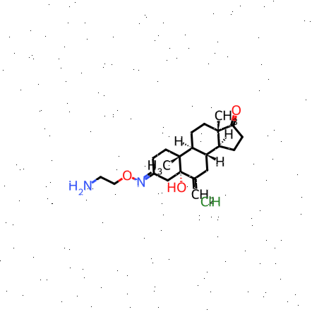 C=C1C[C@H]2[C@@H]3CCC(=O)[C@@]3(C)CC[C@@H]2[C@@]2(C)CCC(=NOCCN)C[C@]12O.Cl